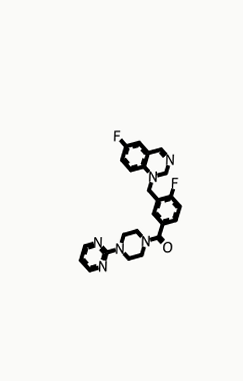 O=C(c1ccc(F)c(CN2CN=Cc3cc(F)ccc32)c1)N1CCN(c2ncccn2)CC1